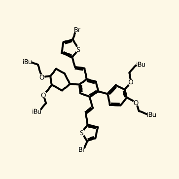 CCC(C)COc1ccc(-c2cc(/C=C/c3ccc(Br)s3)c(C3CCC(OCC(C)CC)C(OCC(C)CC)C3)cc2/C=C/c2ccc(Br)s2)cc1OCC(C)CC